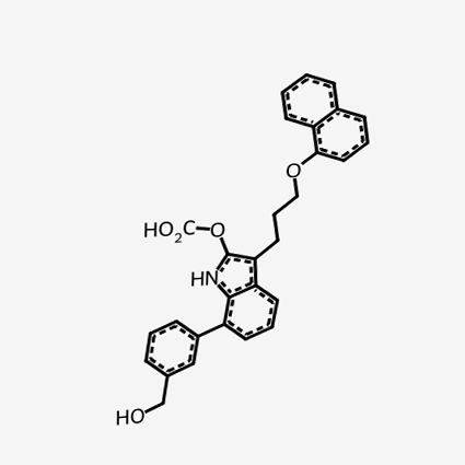 O=C(O)Oc1[nH]c2c(-c3cccc(CO)c3)cccc2c1CCCOc1cccc2ccccc12